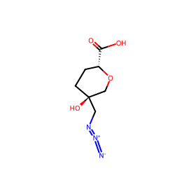 [N-]=[N+]=NC[C@]1(O)CC[C@H](C(=O)O)OC1